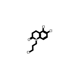 O=C1CCc2c(ccc(Cl)c2Cl)N1CCCCl